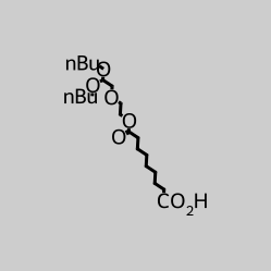 CCCCOC(COCCOC(=O)CCCCCCCC(=O)O)OCCCC